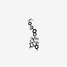 Cc1ccc(C(C)C)c(N2CC(C)CSC2=NC(=O)NC2Cc3ccc(-c4ncn(-c5ccc(OC(F)(F)F)cc5)n4)cc3C2)c1